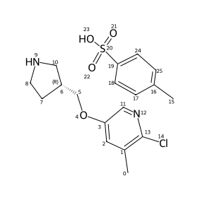 Cc1cc(OC[C@@H]2CCNC2)cnc1Cl.Cc1ccc(S(=O)(=O)O)cc1